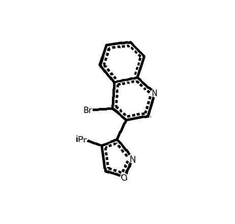 CC(C)c1conc1-c1[c]nc2ccccc2c1Br